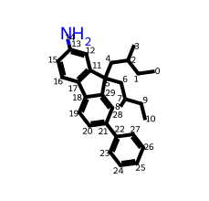 CCC(C)CC1(CC(C)CC)c2cc(N)ccc2-c2ccc(-c3ccccc3)cc21